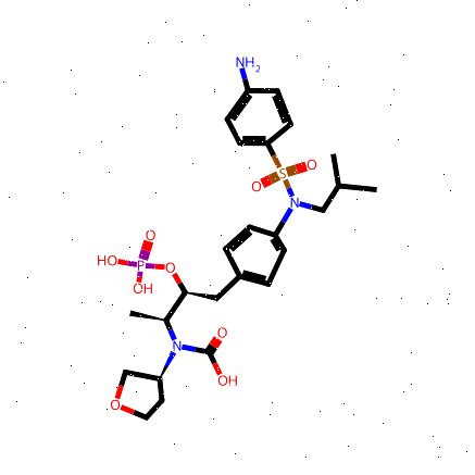 CC(C)CN(c1ccc(C[C@H](OP(=O)(O)O)[C@H](C)N(C(=O)O)[C@H]2CCOC2)cc1)S(=O)(=O)c1ccc(N)cc1